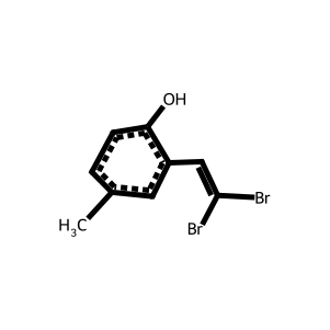 Cc1ccc(O)c(C=C(Br)Br)c1